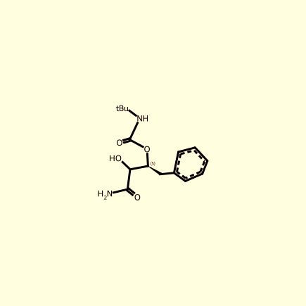 CC(C)(C)NC(=O)O[C@@H](Cc1ccccc1)C(O)C(N)=O